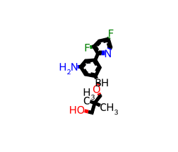 CC(C)(CO)COBc1cc(N)cc(-c2ncc(F)cc2F)c1